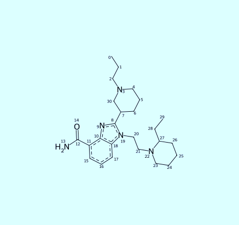 CCCN1CCCC(c2nc3c(C(N)=O)cccc3n2CCN2CCCCC2CC)C1